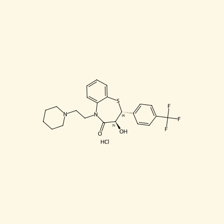 Cl.O=C1[C@H](O)[C@@H](c2ccc(C(F)(F)F)cc2)Sc2ccccc2N1CCN1CCCCC1